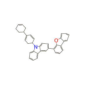 C1=CCC(C2=CCC(n3c4ccccc4c4cc(-c5cccc6c5oc5ccccc56)ccc43)C=C2)CC1